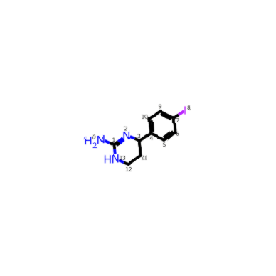 NC1=NC(c2ccc(I)cc2)CCN1